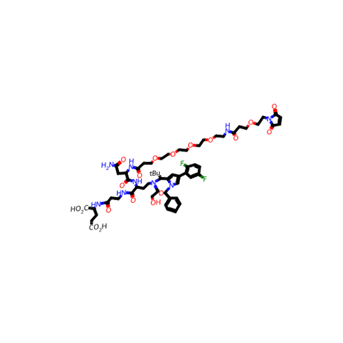 CC(C)(C)C(c1cc(-c2cc(F)ccc2F)cn1Cc1ccccc1)N(CCC(NC(=O)C(CC(N)=O)NC(=O)CCOCCOCCOCCOCCNC(=O)CCOCCN1C(=O)C=CC1=O)C(=O)NCCC(=O)NC(CCC(=O)O)C(=O)O)C(=O)CO